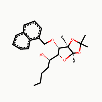 CCCC[C@H](O)[C@H]1O[C@@H]2OC(C)(C)O[C@@H]2[C@H]1OCc1cccc2ccccc12